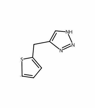 [c]1ccc(Cc2c[nH]nn2)s1